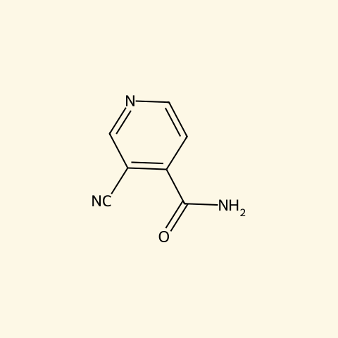 N#Cc1cnccc1C(N)=O